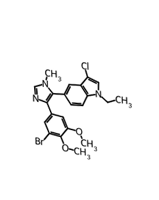 CCn1cc(Cl)c2cc(-c3c(-c4cc(Br)c(OC)c(OC)c4)ncn3C)ccc21